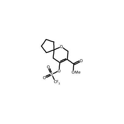 COC(=O)C1=C(OS(=O)(=O)C(F)(F)F)CC2(CCCC2)OC1